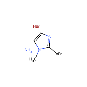 Br.CCCc1nccn1C.N